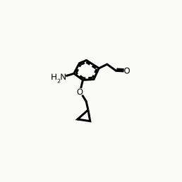 Nc1ccc(CC=O)cc1OCC1CC1